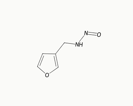 O=NNCc1ccoc1